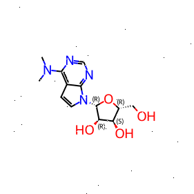 CN(C)c1ncnc2c1ccn2[C@@H]1O[C@H](CO)[C@@H](O)[C@H]1O